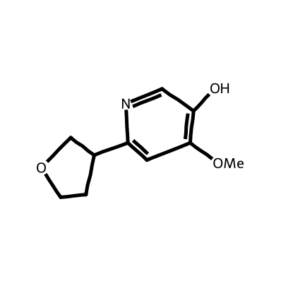 COc1cc(C2CCOC2)ncc1O